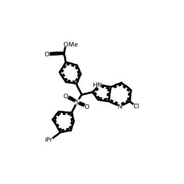 COC(=O)c1ccc(C(c2cc3nc(Cl)ccc3[nH]2)S(=O)(=O)c2ccc(C(C)C)cc2)cc1